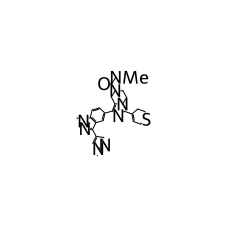 CNC(=O)N1CCn2c(C3=CCSCC3)nc(-c3ccc4c(c3)c(-c3cnn(C)c3)nn4C)c2C1